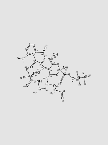 COc1cccc2c1C(=O)c1c(O)c3c(c(O)c1C2=O)C[C@@](O)(C(=O)CO[Si](C)(C)C(C)(C)C)C[C@@H]3O[C@@H](C[C@H](C)NC(=O)C(F)(F)F)O[C@@H](C)C=O